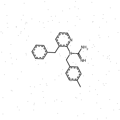 Cc1ccc(CN(C(=N)N)c2ncccc2Cc2ccccc2)cc1